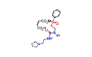 CC(C)N(CCS(=O)(=O)c1ccccc1)C(=O)NCCN1CCCC1.O=C(O)/C=C\C(=O)O